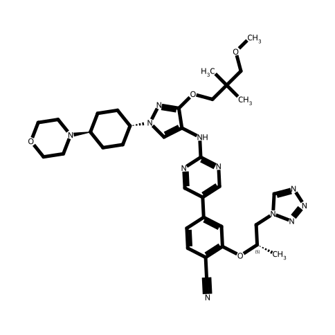 COCC(C)(C)COc1nn([C@H]2CC[C@H](N3CCOCC3)CC2)cc1Nc1ncc(-c2ccc(C#N)c(O[C@@H](C)Cn3cnnn3)c2)cn1